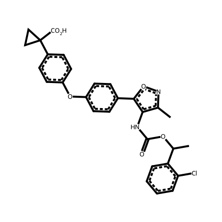 Cc1noc(-c2ccc(Oc3ccc(C4(C(=O)O)CC4)cc3)cc2)c1NC(=O)OC(C)c1ccccc1Cl